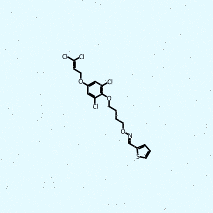 ClC(Cl)=CCOc1cc(Cl)c(OCCCCON=Cc2cccs2)c(Cl)c1